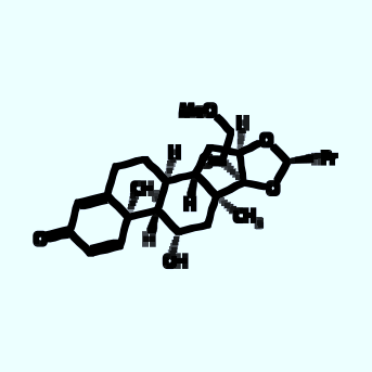 CCC[C@@H]1O[C@@H]2C[C@H]3[C@@H]4CCC5=CC(=O)C=C[C@]5(C)[C@H]4[C@@H](O)C[C@]3(C)[C@]2(C(=O)COC)O1